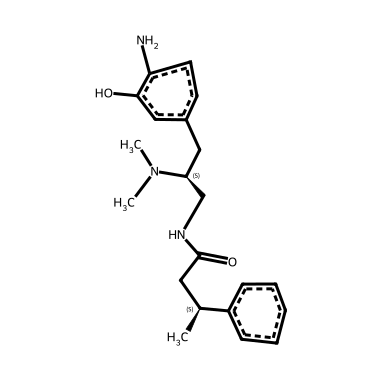 C[C@@H](CC(=O)NC[C@H](Cc1ccc(N)c(O)c1)N(C)C)c1ccccc1